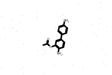 CC(=O)Oc1cc(-c2ccc(N)cc2)ccc1N